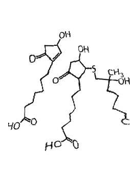 CCCCCC(C)(O)CSC1C(O)CC(=O)C1CCCCCCC(=O)O.O=C(O)CCCCCCC1=CC(O)CC1=O